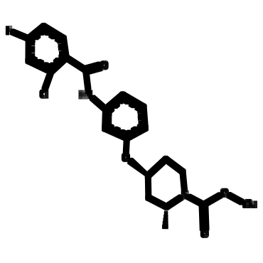 C[C@@H]1C[C@@H](Oc2cccc(NC(=O)c3ccc(F)cc3Cl)c2)CCN1C(=O)OC(C)(C)C